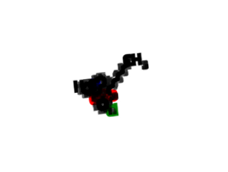 CCCCCCCCCC(=O)Oc1cc(Cl)ccc1OC(CC1CCCCN1C)c1ccccc1